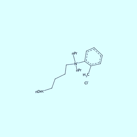 CCCCCCCCCCCCCC[N+](CCC)(CCC)c1ccccc1C.[Cl-]